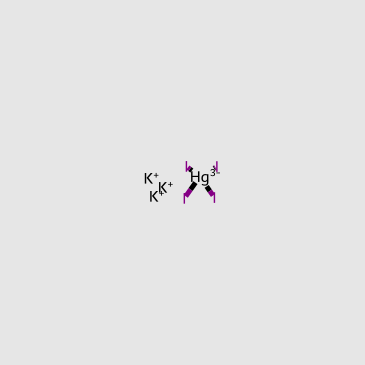 [I][Hg-3]([I])([I])[I].[K+].[K+].[K+]